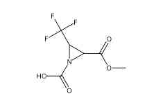 COC(=O)C1C(C(F)(F)F)N1C(=O)O